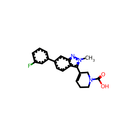 Cn1nc2cc(-c3cccc(F)c3)ccc2c1C1=CCCN(C(=O)O)C1